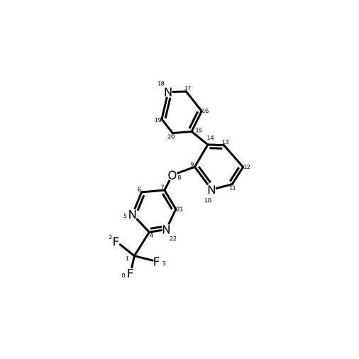 FC(F)(F)c1ncc(Oc2ncccc2C2=CCN=CC2)cn1